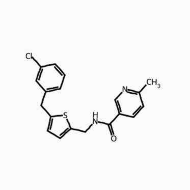 Cc1ccc(C(=O)NCc2ccc(Cc3cccc(Cl)c3)s2)cn1